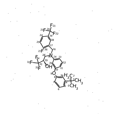 CC(C)(C)c1cccc(Oc2cccc(N(Cc3cc(C(F)(F)F)ccc3F)C[C@@H](O)C(F)(F)F)c2)c1